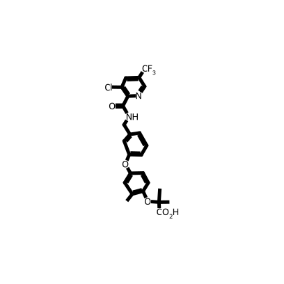 Cc1cc(Oc2cccc(CNC(=O)c3ncc(C(F)(F)F)cc3Cl)c2)ccc1OC(C)(C)C(=O)O